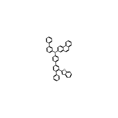 c1ccc(-c2cccc(N(c3ccc(-c4ccc(-c5ccccc5)c(-c5cc6ccccc6o5)c4)cc3)c3ccc4c(ccc5ccccc54)c3)c2)cc1